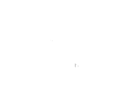 Cc1cc(Cl)c(C(=O)O)c(NCCNCc2ccccc2)c1C(=O)O